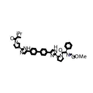 COO/C=N/[C@@H](C(=O)N1CCC[C@H]1c1nc(-c2ccc(-c3ccc(-c4cnc([C@H]5CCN(C(=O)[C@@H](C)C(C)C)C5)[nH]4)cc3)cc2)c[nH]1)c1ccccc1